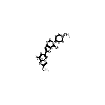 Cc1cn2cc(-c3cc4ncn(C5CCN(C)CC5)c(=O)c4s3)cc(F)c2n1